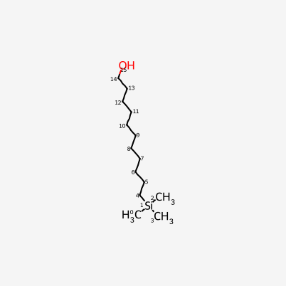 C[Si](C)(C)CCCCCCCCCCCO